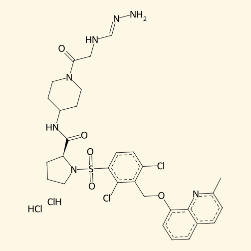 Cc1ccc2cccc(OCc3c(Cl)ccc(S(=O)(=O)N4CCC[C@H]4C(=O)NC4CCN(C(=O)CNC=NN)CC4)c3Cl)c2n1.Cl.Cl